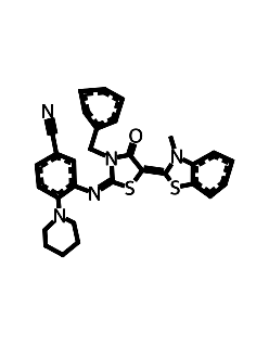 CN1C(=C2SC(=Nc3cc(C#N)ccc3N3CCCCC3)N(Cc3ccccc3)C2=O)Sc2ccccc21